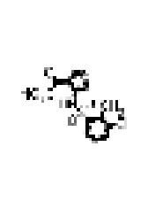 Cc1c(Cl)cccc1S(=O)(=O)Nc1cscc1C(=O)C(=O)O